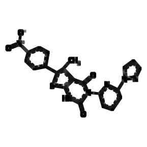 Cc1c(-c2ccc([N+](=O)[O-])cc2)sc2[nH]c(=O)n(-c3cccc(-n4cccn4)n3)c(=O)c12